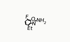 CCc1ccc(F)c2oc(N)nc12